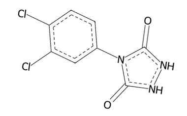 O=c1[nH][nH]c(=O)n1-c1ccc(Cl)c(Cl)c1